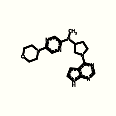 CN(c1cnc(N2CCOCC2)cn1)C1CCN(c2ncnc3[nH]ccc23)C1